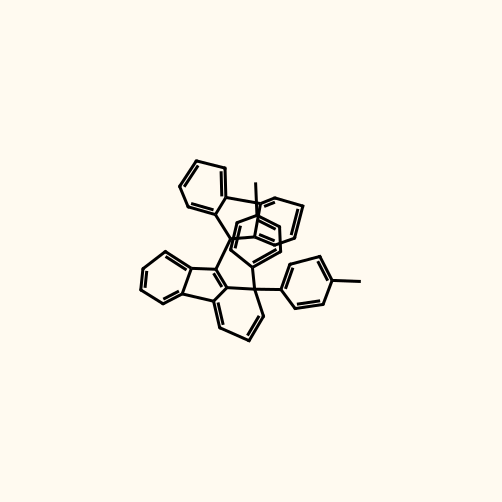 Cc1ccc(C2(c3ccc(C)cc3)C=CC=C3C2=C(C2c4ccccc4-c4ccccc42)c2ccccc23)cc1